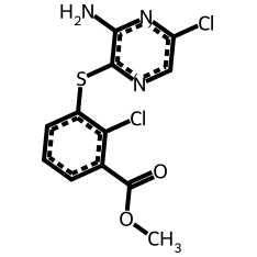 COC(=O)c1cccc(Sc2ncc(Cl)nc2N)c1Cl